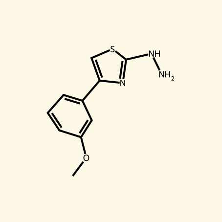 COc1cccc(-c2csc(NN)n2)c1